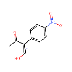 CC(=O)/C(=C\O)c1ccc([N+](=O)[O-])cc1